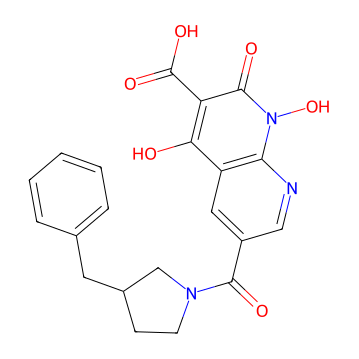 O=C(O)c1c(O)c2cc(C(=O)N3CCC(Cc4ccccc4)C3)cnc2n(O)c1=O